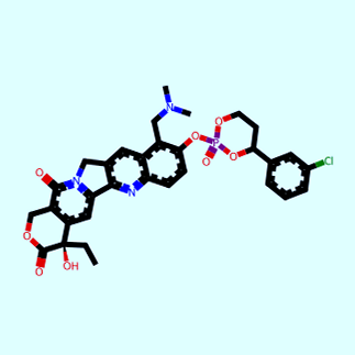 CC[C@]1(O)C(=O)OCc2c1cc1n(c2=O)Cc2cc3c(CN(C)C)c(OP4(=O)OCCC(c5cccc(Cl)c5)O4)ccc3nc2-1